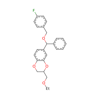 CCOCC1COc2ccc(C(OCc3ccc(F)cc3)c3ccccc3)cc2O1